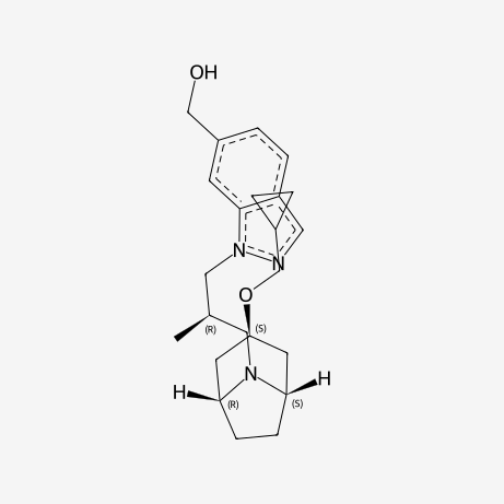 C[C@H](CN1[C@@H]2CC[C@H]1C[C@H](OCC1CC1)C2)Cn1ncc2ccc(CO)cc21